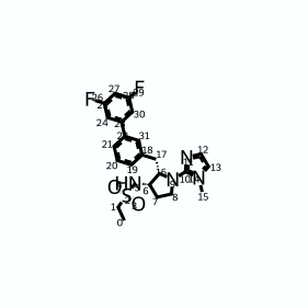 CCS(=O)(=O)N[C@H]1CCN(c2nccn2C)[C@H]1Cc1cccc(-c2cc(F)cc(F)c2)c1